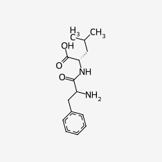 CC(C)C[C@H](NC(=O)C(N)Cc1ccccc1)C(=O)O